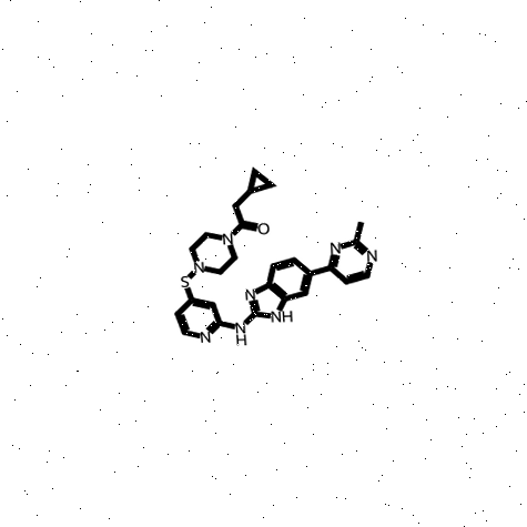 Cc1nccc(-c2ccc3nc(Nc4cc(SN5CCN(C(=O)CC6CC6)CC5)ccn4)[nH]c3c2)n1